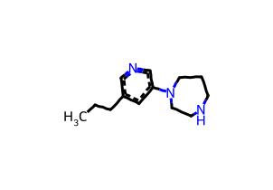 CCCc1cncc(N2CCCNCC2)c1